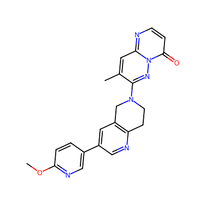 COc1ccc(-c2cnc3c(c2)CN(c2nn4c(=O)ccnc4cc2C)CC3)cn1